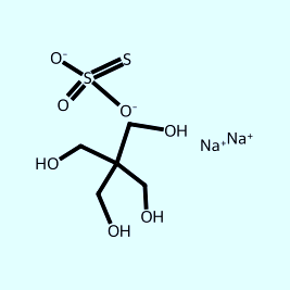 O=S([O-])([O-])=S.OCC(CO)(CO)CO.[Na+].[Na+]